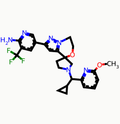 COc1cccc(C(C2CC2)N2CCC3(C2)OCCn2nc(-c4cnc(N)c(C(F)(F)F)c4)cc23)n1